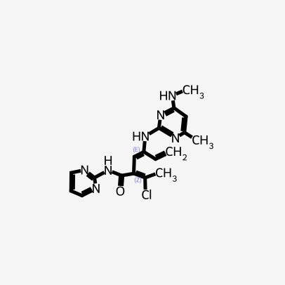 C=C/C(=C\C(C(=O)Nc1ncccn1)=C(/C)Cl)Nc1nc(C)cc(NC)n1